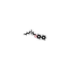 CCCCC[Si](C)(C)CCCOc1ccc(-c2ccccc2)cc1